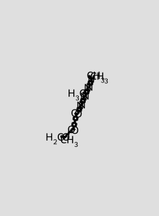 C=CC(C)OCCCCOC(=O)C1CCC(C2CCC(C(=O)Oc3ccc(N=Nc4ccc(N=Nc5ccc(N=Nc6ccc(N(CC)CC)cc6)cc5C)cc4)cc3)CC2)CC1